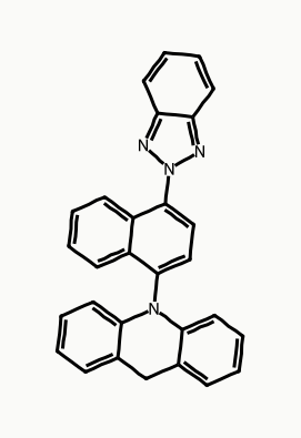 c1ccc2c(c1)Cc1ccccc1N2c1ccc(-n2nc3ccccc3n2)c2ccccc12